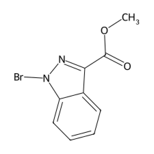 COC(=O)c1nn(Br)c2ccccc12